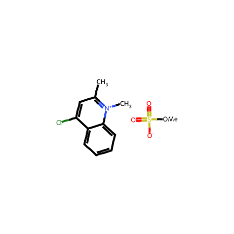 COS(=O)(=O)[O-].Cc1cc(Cl)c2ccccc2[n+]1C